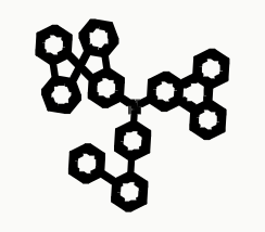 c1ccc(-c2ccccc2-c2ccc(N(c3ccc4c(c3)-c3ccccc3C43c4ccccc4-c4ccccc43)c3ccc4c5ccccc5c5ccccc5c4c3)cc2)cc1